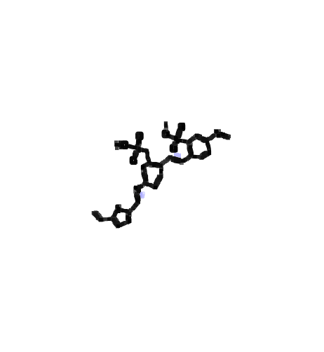 C=Cc1ccc(/C=N/c2ccc(/C=C/c3ccc(N=C)cc3S(=O)(=O)OC)c(CS(=O)(=O)O)c2)s1